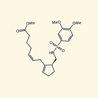 COC(=O)CCC/C=C\CC1=CCC[C@@H]1CNS(=O)(=O)c1ccc(OC)c(OC)c1